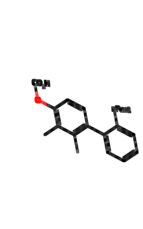 CCCCCc1ccccc1-c1ccc(OC(=O)O)c(C)c1C